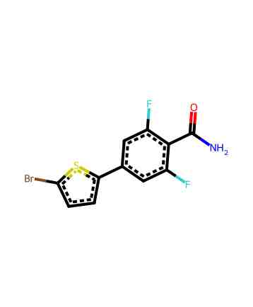 NC(=O)c1c(F)cc(-c2ccc(Br)s2)cc1F